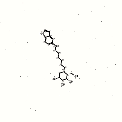 OC[C@@H]1[C@@H](O)[C@H](O)[C@@H](O)CN1CCCCCCNc1ccc2[nH]ccc2c1